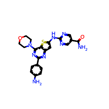 NC(=O)c1cnc(Nc2cc3nc(-c4ccc(N)cc4)nc(N4CCOCC4)c3s2)nc1